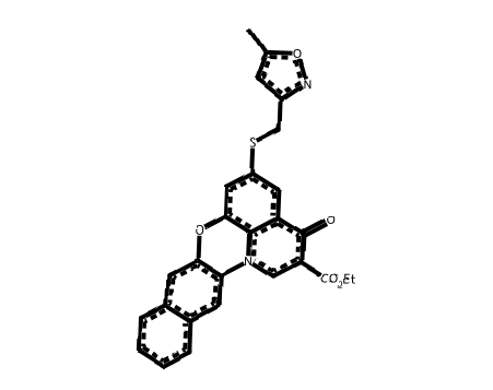 CCOC(=O)c1cn2c3c(cc(SCc4cc(C)on4)cc3c1=O)Oc1cc3ccccc3cc1-2